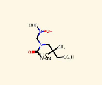 CCCCCC(=O)N(CN(O)C=O)CC(C)(C)CC(=O)O